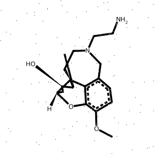 COc1ccc2c3c1O[C@H]1C[C@@H](O)C(C)[C@@]31CCN(CCN)C2